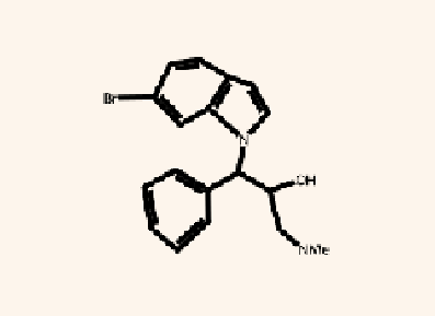 CNCC(O)C(c1ccccc1)n1ccc2ccc(Br)cc21